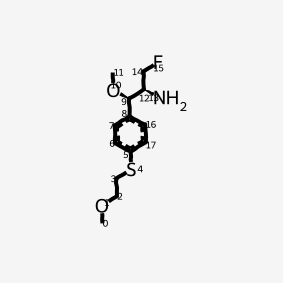 COCCSc1ccc([C@@H](OC)[C@H](N)CF)cc1